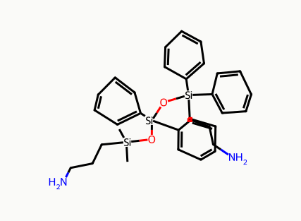 C[Si](C)(CCCN)O[Si](O[Si](CCCN)(c1ccccc1)c1ccccc1)(c1ccccc1)c1ccccc1